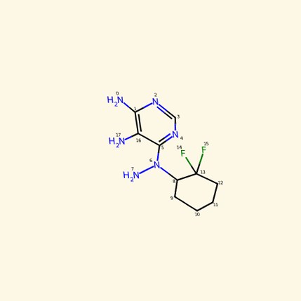 Nc1ncnc(N(N)C2CCCCC2(F)F)c1N